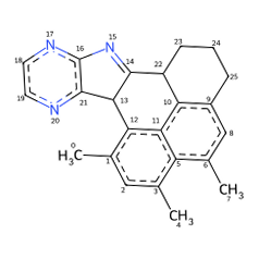 Cc1cc(C)c2c(C)cc3c4c2c1C1C(=Nc2nccnc21)C4CCC3